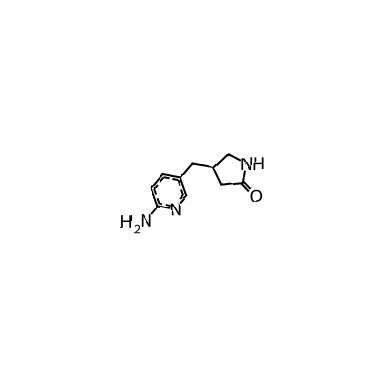 Nc1ccc(CC2CNC(=O)C2)cn1